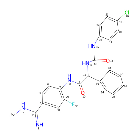 CNC(=N)c1ccc(NC(=O)C(NC(=O)Nc2ccc(Cl)cc2)c2ccccc2)c(F)c1